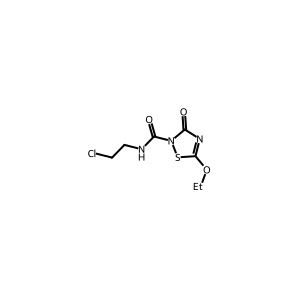 CCOc1nc(=O)n(C(=O)NCCCl)s1